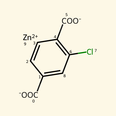 O=C([O-])c1ccc(C(=O)[O-])c(Cl)c1.[Zn+2]